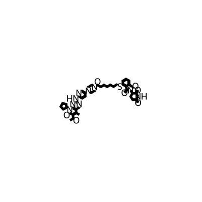 CC(=O)c1c(C)c2cnc(Nc3ccc(N4CCN(C(=O)CCCCCCSc5cccc6c5C(=O)N(C5CCC(=O)NC5=O)C6=O)CC4)cn3)nc2n(C2CCCC2)c1=O